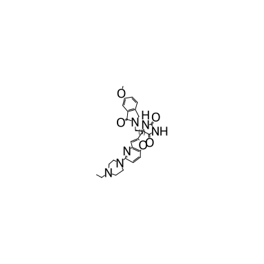 CCN1CCN(c2ccc3oc([C@]4(CN5Cc6ccc(OC)cc6C5=O)NC(=O)NC4=O)cc3n2)CC1